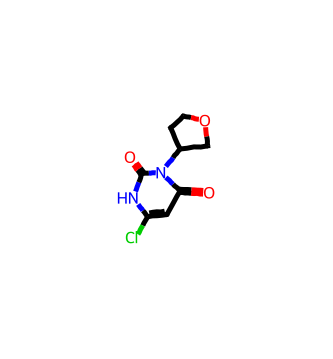 O=c1cc(Cl)[nH]c(=O)n1C1CCOC1